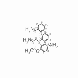 CCOc1ccc(N)cc1.NCCCc1ccccc1.NCc1ccccc1